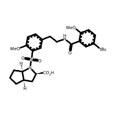 COc1ccc(C(C)(C)C)cc1C(=O)NCCc1ccc(OC)c(S(=O)(=O)N2[C@@H](C(=O)O)C[C@H]3CCC[C@H]32)c1